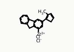 CC1=C(c2c[c]([Zr+2])c3c(c2)-c2ccccc2C3)CC=C1.[Cl-].[Cl-]